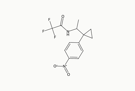 CC(NC(=O)C(F)(F)F)C1(c2ccc([N+](=O)[O-])cc2)CC1